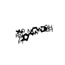 CC(C)(C)C(=O)Nc1cc(-c2cn3nc(N4CCS(O)(O)CC4)ccc3n2)ccc1C(F)(F)F